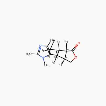 [2H]c1nc(C)n(C)c1C([2H])([2H])[C@@]1([2H])COC(=O)[C@@]1([2H])C([2H])([2H])C([2H])([2H])[2H]